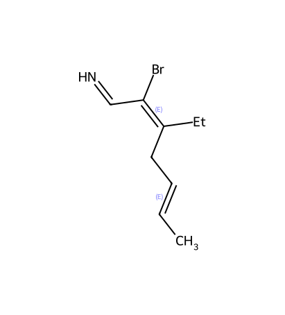 C/C=C/C/C(CC)=C(/Br)C=N